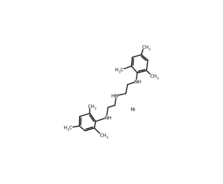 Cc1cc(C)c(NCCNCCNc2c(C)cc(C)cc2C)c(C)c1.[Ni]